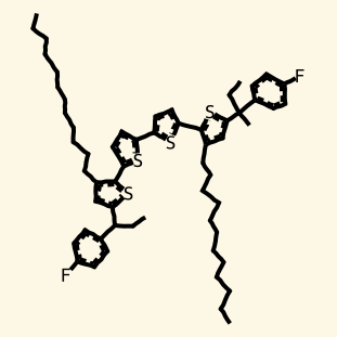 CCCCCCCCCCCCc1cc(C(CC)c2ccc(F)cc2)sc1-c1ccc(-c2ccc(-c3sc(C(C)(CC)c4ccc(F)cc4)cc3CCCCCCCCCCCC)s2)s1